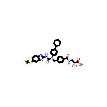 O=C(NC[C@@H](O)C(=O)O)c1ccc(CN(C(=O)Nc2nc3ccc(SC(F)(F)F)cc3s2)c2ccc(C3CCCCC3)cc2)cc1